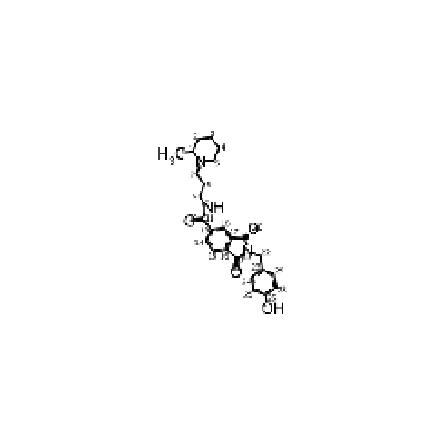 CC1CCCCN1CCCNC(=O)c1ccc2c(c1)C(=O)N(Cc1ccc(O)cc1)C2=O